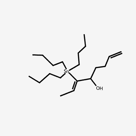 C=CCCC(O)/[C](=C/C)[Sn]([CH2]CCC)([CH2]CCC)[CH2]CCC